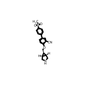 CS(=O)(=O)c1ccc(-c2ccc(OC[C@H]3[C@@H]4CNC[C@@H]43)c(C#N)c2)cc1